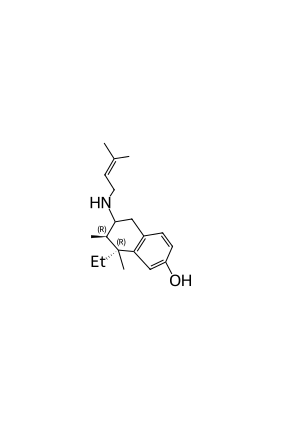 CC[C@@]1(C)c2cc(O)ccc2CC(NCC=C(C)C)[C@@H]1C